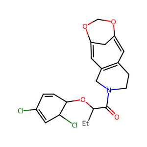 CCC(OC1C=CC(Cl)=CC1Cl)C(=O)N1CCC2=C(C=C3CC(=C2)OCO3)C1